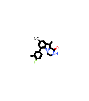 Cc1cc(-c2cc(C#N)cc3c(C)c4n(c23)CCNC4=O)ccc1F